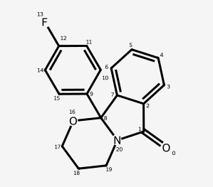 O=C1c2ccccc2C2(c3ccc(F)cc3)OCCCN12